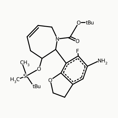 CC(C)(C)OC(=O)N1CC=CCC(O[Si](C)(C)C(C)(C)C)C1c1c(F)c(N)cc2c1OCC2